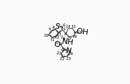 O=C(NC[C@]1(c2csc3ccccc32)CC[C@H](O)CC1)c1ccccn1